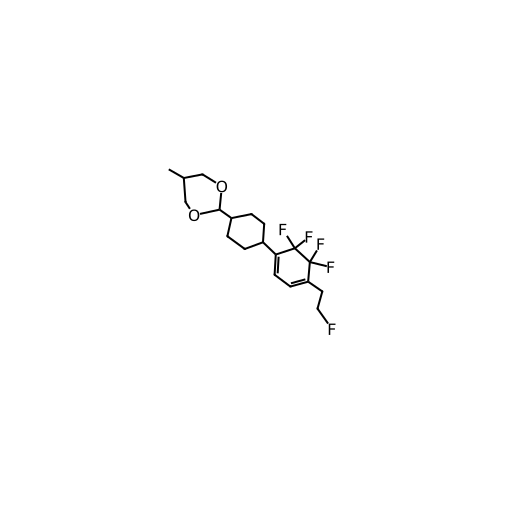 CC1COC(C2CCC(C3=CC=C(CCF)C(F)(F)C3(F)F)CC2)OC1